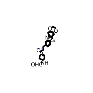 O=CNC1CCN(C(=O)/C=C/c2ccc(Sc3ccc4c(c3)OCCO4)c([N+](=O)[O-])c2)CC1